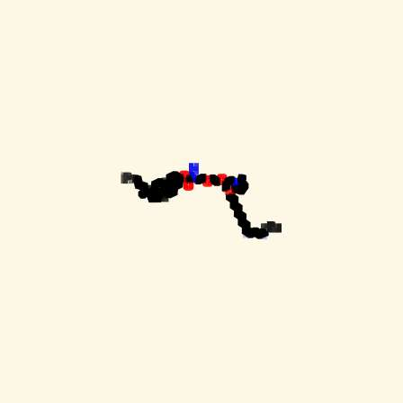 CCCC/C=C\C/C=C\CCCCCCCCOCC(CN1CCCC1C)OCCOCCNC(=O)O[C@H]1CC[C@@]2(C)C(=CC[C@H]3C4CCC(C(C)CCCC(C)C)[C@@]4(C)CCC32)C1